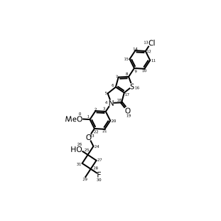 COc1cc(N2Cc3cc(-c4ccc(Cl)cc4)sc3C2=O)ccc1OCC1(O)CC(C)(F)C1